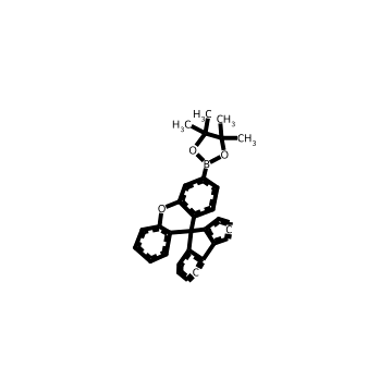 CC1(C)OB(c2ccc3c(c2)Oc2ccccc2C32c3ccccc3-c3ccccc32)OC1(C)C